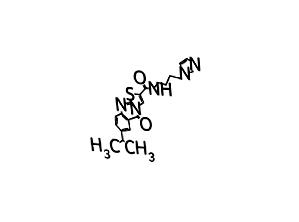 CC(C)c1ccc2nc3sc(C(=O)NCCCCn4ccnc4)cn3c(=O)c2c1